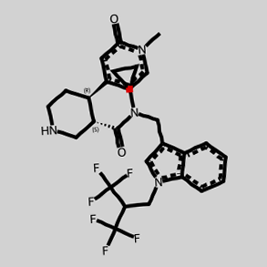 Cn1ccc([C@@H]2CCNC[C@H]2C(=O)N(Cc2cn(CC(C(F)(F)F)C(F)(F)F)c3ccccc23)C2CC2)cc1=O